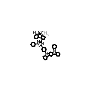 CC1(C)c2ccccc2-c2c(-c3nc(-c4ccccc4)nc(-c4ccc(-n5c6ccccc6c6cc7c8ccccc8n(-c8ccccc8)c7cc65)cc4)n3)cccc21